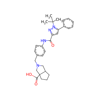 CC(C)(C)n1nc(C(=O)Nc2ccc(CN3CC4CCCC4(C(=O)O)C3)cc2)cc1-c1ccccc1